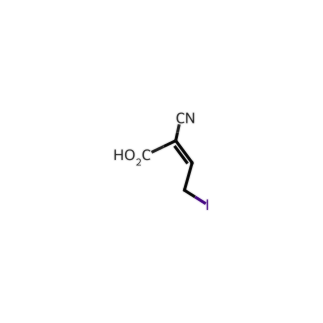 N#CC(=CCI)C(=O)O